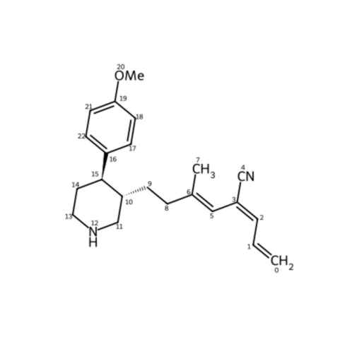 C=C/C=C(C#N)\C=C(/C)CC[C@@H]1CNCC[C@H]1c1ccc(OC)cc1